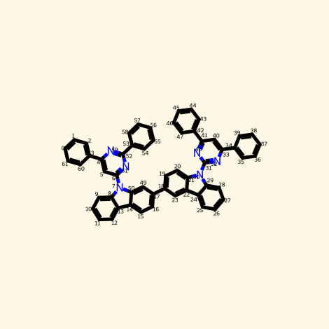 c1ccc(-c2cc(-n3c4ccccc4c4ccc(-c5ccc6c(c5)c5ccccc5n6-c5nc(-c6ccccc6)cc(-c6ccccc6)n5)cc43)nc(-c3ccccc3)n2)cc1